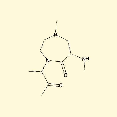 CNC1CN(C)CCN(C(C)C(C)=O)C1=O